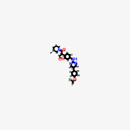 C[C@@H]1CCCN(C(=O)C(CO)c2ccc(Nc3ncc(-c4ccc(OC(F)F)cc4)cn3)cc2)C1